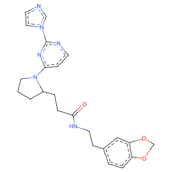 O=C(CCC1CCCN1c1ccnc(-n2ccnc2)n1)NCCc1ccc2c(c1)OCO2